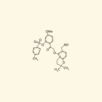 COc1ccc(C(=O)COc2c(CN=O)ccc3c2CCC(C)(C)O3)c(OS(=O)(=O)c2ccc(C)cc2)c1